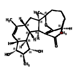 CC1=C[C@H]2[C@@H](O)[C@H](C)[C@@H](O)[C@@H]2[C@H]2[C@@H]3C4=C5O[C@](C)(CCC(OC4=O)[C@H]5C)[C@@H]3C[C@@H]12